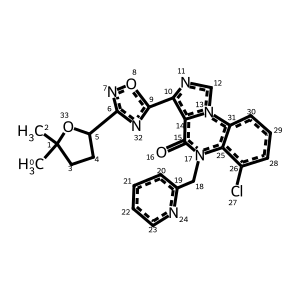 CC1(C)CCC(c2noc(-c3ncn4c3c(=O)n(Cc3ccccn3)c3c(Cl)cccc34)n2)O1